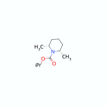 CC(C)OC(=O)N1[C@H](C)CCC[C@@H]1C